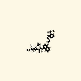 CNc1cccc2c1ncn2CCOc1ccc(NC(=O)Nc2cc(C(C)(C)C)nn2C2CC2)c2ccccc12